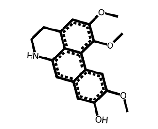 COc1cc2c(cc1O)cc1c3c(cc(OC)c(OC)c32)CCN1